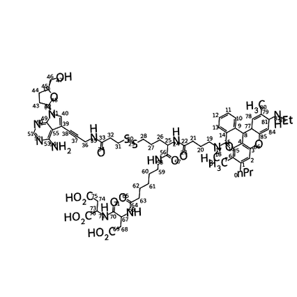 CCCc1cc2c(cc1C)C(c1ccccc1C(=O)N(C)CCCC(=O)NC(CCCSSCCC(=O)NCC#Cc1cn([C@H]3CC[C@@H](CO)O3)c3ncnc(N)c13)C(=O)NCCCCCC(=O)NC(CC(=O)O)C(=O)NC(CC(=O)O)C(=O)O)C1C=C(C)C(NCC)C=C1O2